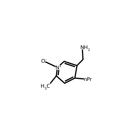 CCCc1cc(C)[n+]([O-])cc1CN